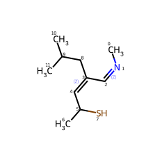 C/N=C\C(=C/C(C)S)CC(C)C